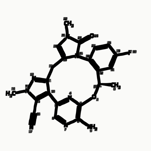 C[C@H]1Oc2nc(cnc2N)-c2c(nn(C)c2C#N)Cc2cn(C)c(=O)n2-c2ccc(F)cc21